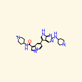 CN1CCC(NC(=O)c2cnn3ccc(-c4c[nH]c5nc(NC6CCN(C)CC6)ncc45)cc23)CC1